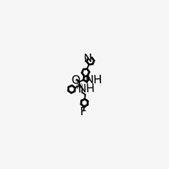 O=C(c1c[nH]c2cc(-c3cccnc3)ccc12)[C@@H](NCCc1ccc(F)cc1)c1ccccc1